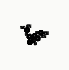 N#Cc1ccc(Oc2ccc(C3(c4ccc(Oc5ccc(C#N)c(C#N)c5)cc4)c4ccccc4C(=O)N3c3ccccc3)cc2)cc1C#N